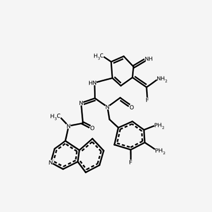 CC1=CC(=N)/C(=C(\N)F)C=C1N/C(=N/C(=O)N(C)c1cncc2ccccc12)N(C=O)Cc1cc(F)c(P)c(P)c1